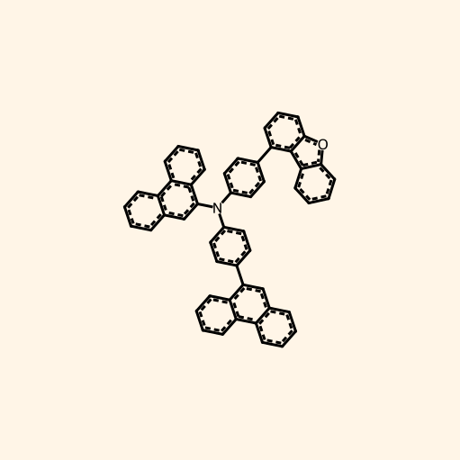 c1ccc2c(c1)cc(-c1ccc(N(c3ccc(-c4cccc5oc6ccccc6c45)cc3)c3cc4ccccc4c4ccccc34)cc1)c1ccccc12